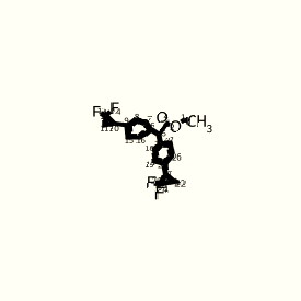 CCOC(=O)C(c1ccc(C2CC2(F)F)cc1)c1ccc(C2CC2(F)F)cc1